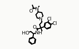 CC(=O)N(C)C1CCN(CCC(C)(C(=O)NC(CO)c2ccccc2)c2ccc(Cl)c(Cl)c2)CC1